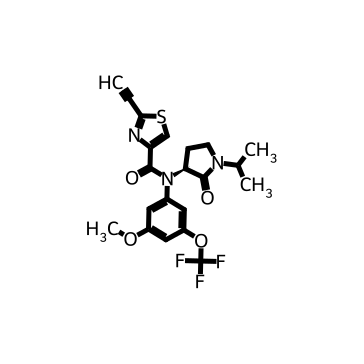 C#Cc1nc(C(=O)N(c2cc(OC)cc(OC(F)(F)F)c2)[C@H]2CCN(C(C)C)C2=O)cs1